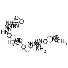 CO[C@@H]1C2CC1N([C@H]1CCc3ccc(Nc4nc(N)n(-c5cc6c(nn5)-c5cc(C78CC([C@H]7OC)N([C@@H]7CCc9ccc(Nc%10nc(N)n(-c%11cc%12c(nn%11)-c%11ccccc%11CCC%12)n%10)cc9CC7)C8)ccc5CCC6)n4)cc3CC1)C2